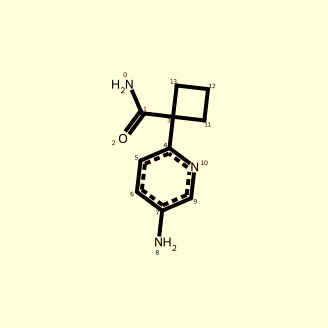 NC(=O)C1(c2ccc(N)cn2)CCC1